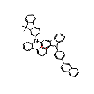 CC1(C)c2ccccc2-c2ccc(N(c3ccc4c(c3)c3ccccc3n4-c3ccc(-c4ccc5ccccc5c4)cc3)c3ccccc3-c3ccccc3)cc21